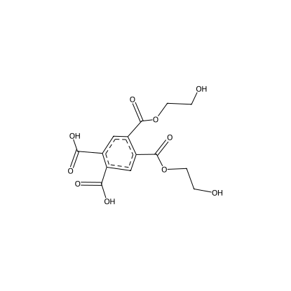 O=C(O)c1cc(C(=O)OCCO)c(C(=O)OCCO)cc1C(=O)O